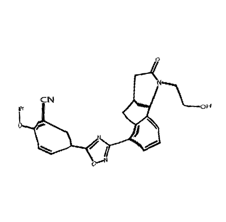 CC(C)OC1=C(C#N)CC(c2nc(-c3cccc4c3CC3CC(=O)N(CCO)C43)no2)C=C1